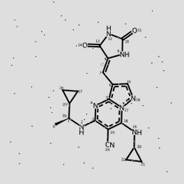 C[C@H](Nc1nc2c(/C=C3\NC(=O)NC3=O)cnn2c(NC2CC2)c1C#N)C1CC1